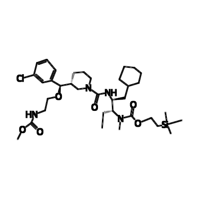 CC[C@H]([C@H](CC1CCCCC1)NC(=O)N1CCC[C@@H]([C@@H](OCCNC(=O)OC)c2cccc(Cl)c2)C1)N(C)C(=O)OCC[Si](C)(C)C